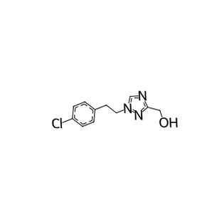 OCc1ncn(CCc2ccc(Cl)cc2)n1